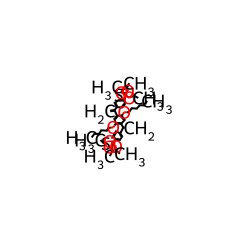 C=C(c1ccc([Si](OCC)(OCC)OCC)cc1)c1cc(OCCCCCC)c(C(=C)c2ccc([Si](OCC)(OCC)OCC)cc2)cc1OCCCCCC